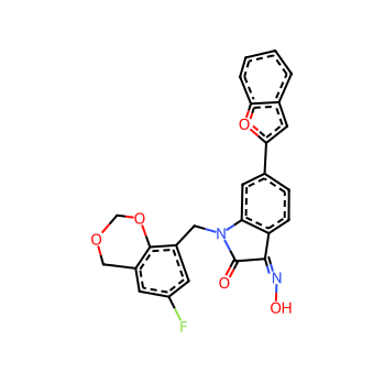 O=C1/C(=N\O)c2ccc(-c3cc4ccccc4o3)cc2N1Cc1cc(F)cc2c1OCOC2